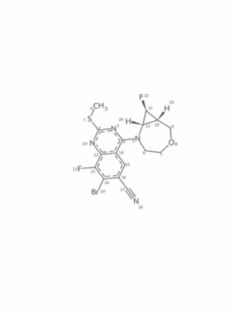 CSc1nc(N2CCOC[C@H]3[C@H](F)[C@H]32)c2cc(C#N)c(Br)c(F)c2n1